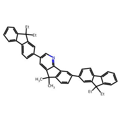 CCC1(CC)c2ccccc2-c2ccc(-c3ccc4c(c3)-c3ncc(-c5ccc6c(c5)C(CC)(CC)c5ccccc5-6)cc3C4(C)C)cc21